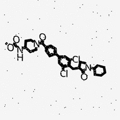 COC(=O)NC1CCN(C(=O)c2ccc(-c3cc(Cl)c(CC4CCN(C5CCCCC5)C4=O)c(Cl)c3)cc2)CC1